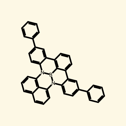 c1ccc(-c2ccc3c(c2)-c2cccc4c2B2N3c3cccc5cccc(c35)N2c2ccc(-c3ccccc3)cc2-4)cc1